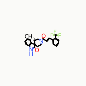 Cc1ccc2c(c1)C1(CCN(C(=O)/C=C/c3ccccc3C(F)(F)F)CC1)C(=O)N2